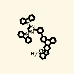 CC1(C)C=CC=C2C=c3cc4c5ccccc5c5cc(-c6cccc(-c7nc(-n8c9ccccc9c9ccccc98)cc(-n8c9ccccc9c9ccccc98)n7)c6)ccc5c4cc3=C21